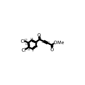 COC(=O)C#CC(=O)c1ccc(Cl)c(Cl)c1